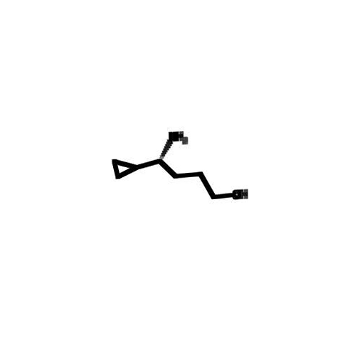 N[C@H](CCCO)C1CC1